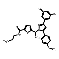 CC(c1ccc(C(=O)NCCC(=O)O)s1)n1nc(-c2cc(Cl)cc(Cl)c2)cc1-c1ccc(OC(F)(F)F)cc1